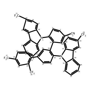 N#Cc1ccc(-n2c3ccccc3c3cc(C(F)(F)F)ccc32)c(-c2cc(-c3ccc(C(F)(F)F)cc3C(F)(F)F)ccc2-n2c3ccccc3c3cc(C(F)(F)F)ccc32)c1